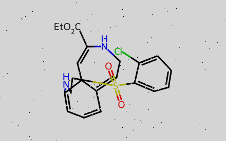 CCOC(=O)C1=CC23C(=CCN1)C=CC=C2NCC3S(=O)(=O)c1ccccc1Cl